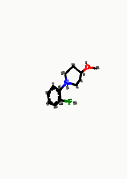 COC1CCN(c2ccccc2F)CC1